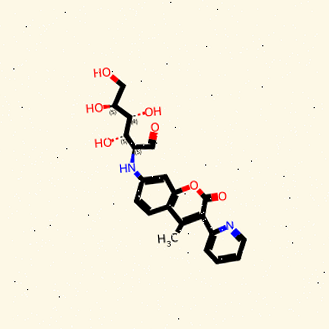 Cc1c(-c2ccccn2)c(=O)oc2cc(N[C@H](C=O)[C@H](O)[C@@H](O)[C@@H](O)CO)ccc12